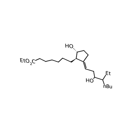 CCCCC(CC)C(O)CC=C1CC[C@@H](O)[C@@H]1CCCCCCC(=O)OCC